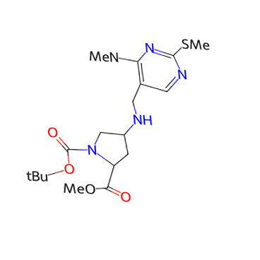 CNc1nc(SC)ncc1CNC1CC(C(=O)OC)N(C(=O)OC(C)(C)C)C1